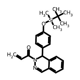 C=CC(=O)N1N=Cc2ccccc2C1c1ccc(O[Si](C)(C)C(C)(C)C)cc1